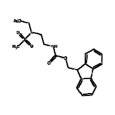 CC(=O)OCN(CCNC(=O)OCC1c2ccccc2-c2ccccc21)S(C)(=O)=O